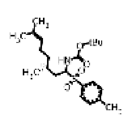 CC(C)=CCC[C@@H](C)CC(NC(=O)OC(C)(C)C)S(=O)(=O)c1ccc(C)cc1